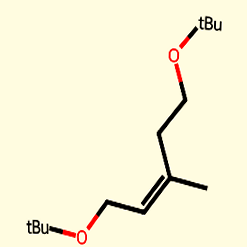 C/C(=C/COC(C)(C)C)CCOC(C)(C)C